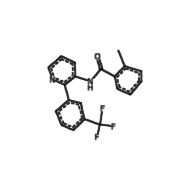 Cc1ccccc1C(=O)Nc1cccnc1-c1cccc(C(F)(F)F)c1